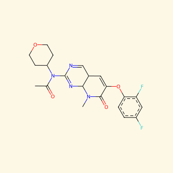 CC(=O)N(C1=NC2C(C=N1)C=C(Oc1ccc(F)cc1F)C(=O)N2C)C1CCOCC1